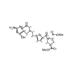 COC(=O)[C@@H]1C[C@@H](C(=O)OC)N(C(=O)c2ccc(CCC3CNc4nc(N)nc(O)c4C3)s2)C1